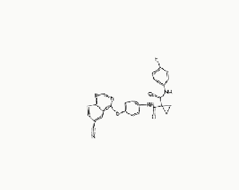 N#Cc1ccc2ncnc(Oc3ccc(NC(=O)C4(C(=O)Nc5ccc(F)cc5)CC4)cc3)c2c1